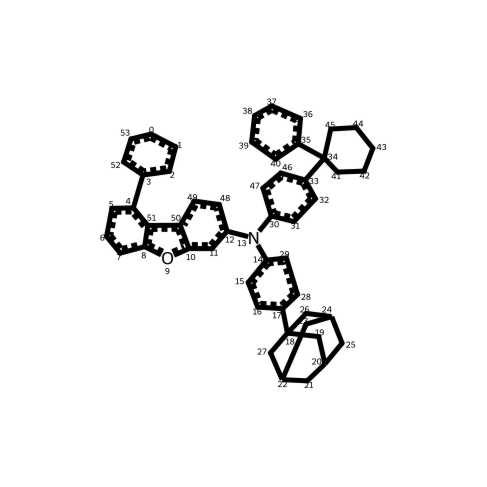 c1ccc(-c2cccc3oc4cc(N(c5ccc(C67CC8CC(CC(C8)C6)C7)cc5)c5ccc(C6(c7ccccc7)CCCCC6)cc5)ccc4c23)cc1